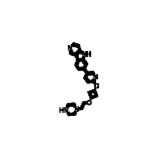 c1cc2[nH]c3cc(-c4ccc(O[C@H]5C[C@@H](OCCN6CCNCC6)C5)nc4)ccc3c2cn1